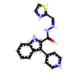 O=C(N/N=C\c1nccs1)c1[nH]c2ccccc2c1-c1ccncc1